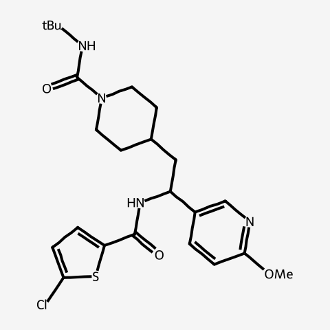 COc1ccc(C(CC2CCN(C(=O)NC(C)(C)C)CC2)NC(=O)c2ccc(Cl)s2)cn1